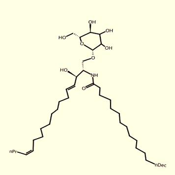 CCC/C=C\CCCCCCCC/C=C/[C@@H](O)[C@H](CO[C@@H]1O[C@H](CO)[C@@H](O)C(O)C1O)NC(=O)CCCCCCCCCCCCCCCCCCCCCC